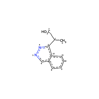 CC(C(=O)O)c1nncc2ccccc12